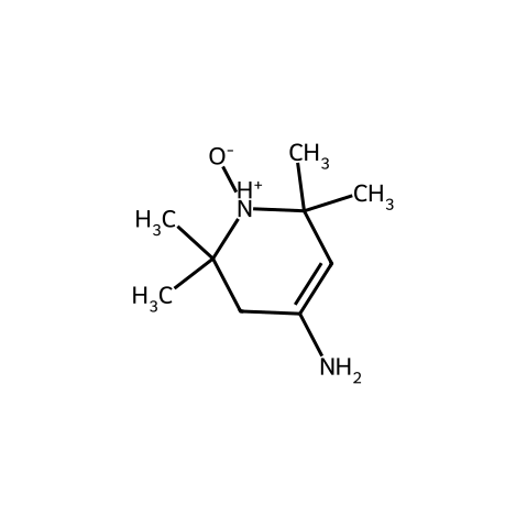 CC1(C)C=C(N)CC(C)(C)[NH+]1[O-]